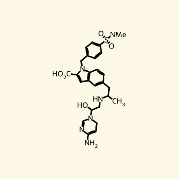 CNS(=O)(=O)c1ccc(Cn2c(C(=O)O)cc3cc(CC(C)NCC(O)N4C=NC(N)=CC4)ccc32)cc1